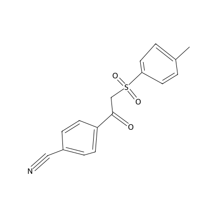 Cc1ccc(S(=O)(=O)CC(=O)c2ccc(C#N)cc2)cc1